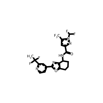 CC(F)(F)c1cc(-c2nc3c(o2)CCCC3NC(=O)c2cc(C(F)(F)F)n(C(F)F)n2)ccn1